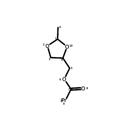 CC1OCC(COC(=O)C(C)C)O1